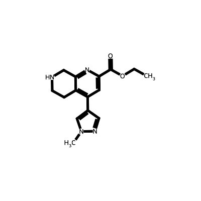 CCOC(=O)c1cc(-c2cnn(C)c2)c2c(n1)CNCC2